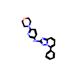 c1ccc(-c2cccc3nc(Nc4ccc(N5CCOCC5)nc4)nn23)cc1